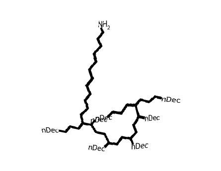 CCCCCCCCCCCCCC(CCCCCCCCCCCCC)C(CCCCCCCCCC)CCC(CCCCCCCCCC)CCC(CCCCCCCCCC)CCC(CCCCCCCCCC)C(CCCCCCCCCCCCC)CCCCCCCCCCCCN